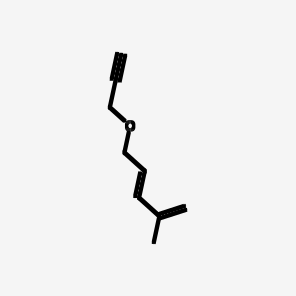 C#CCOC/C=C/C(=C)C